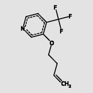 C=CCCOc1cnccc1C(F)(F)F